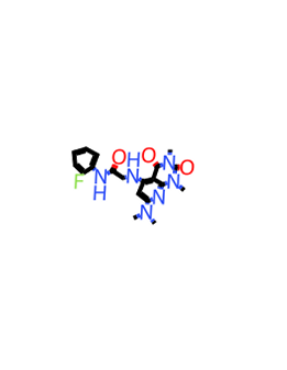 CN(C)c1cc(NCC(=O)Nc2ccccc2F)c2c(=O)n(C)c(=O)n(C)c2n1